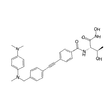 C[C@@H](O)[C@H](NC(=O)c1ccc(C#Cc2ccc(CN(C)c3ccc(N(C)C)cc3)cc2)cc1)C(=O)NO